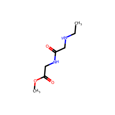 CCNCC(=O)NCC(=O)OC